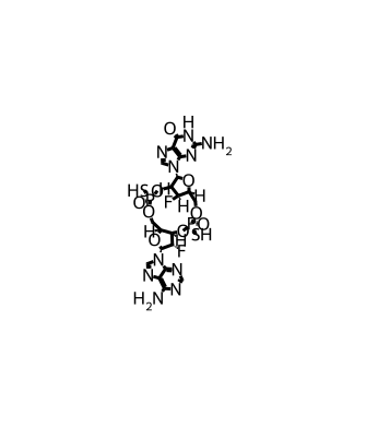 Nc1nc2c(ncn2[C@@H]2O[C@@H]3COP(=O)(S)O[C@H]4[C@H](F)[C@H](n5cnc6c(N)ncnc65)O[C@@H]4COP(=O)(S)O[C@H]2[C@@H]3F)c(=O)[nH]1